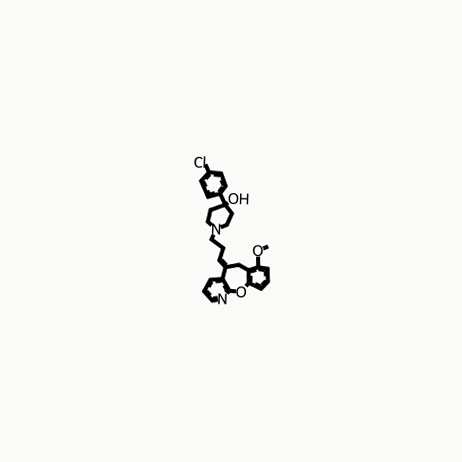 COc1cccc2c1CC(=CCCN1CCC(O)(c3ccc(Cl)cc3)CC1)c1cccnc1O2